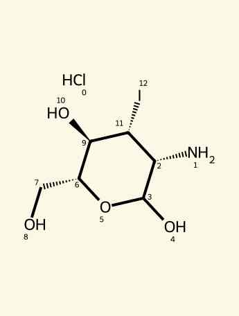 Cl.N[C@@H]1C(O)O[C@H](CO)[C@@H](O)[C@@H]1I